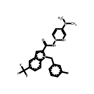 CN(C)C1=CNN(NC(=O)c2cc3cc(C(F)(F)F)ccc3n2Cc2cccc(F)c2)C=C1